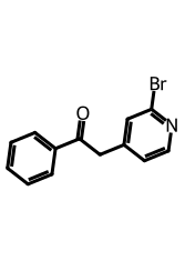 O=C(Cc1ccnc(Br)c1)c1ccccc1